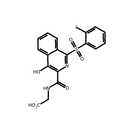 O=C(O)CNC(=O)c1nc(S(=O)(=O)c2ccccc2I)c2ccccc2c1O